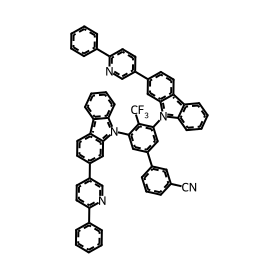 N#Cc1cccc(-c2cc(-n3c4ccccc4c4ccc(-c5ccc(-c6ccccc6)nc5)cc43)c(C(F)(F)F)c(-n3c4ccccc4c4ccc(-c5ccc(-c6ccccc6)nc5)cc43)c2)c1